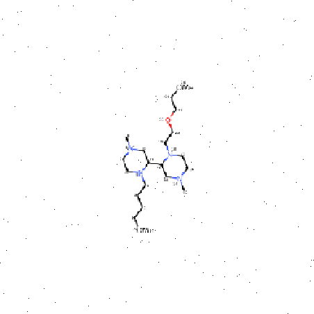 COCCCCN1CCN(C)CC1C1CN(C)CCN1CCOCCOC